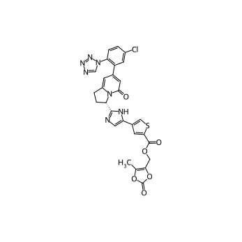 Cc1oc(=O)oc1COC(=O)c1cc(-c2cnc([C@@H]3CCc4cc(-c5cc(Cl)ccc5-n5cnnn5)cc(=O)n43)[nH]2)cs1